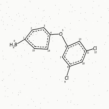 Bc1ccc(Oc2cc(Cl)cc(Cl)c2)cc1